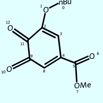 CCCCOC1=CC(C(=O)OC)=CC(=O)C1=O